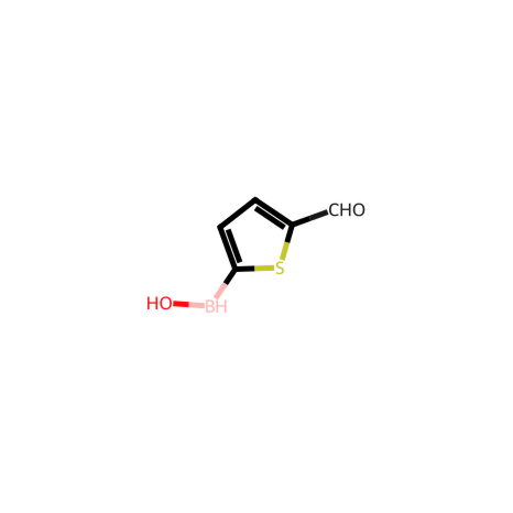 O=Cc1ccc(BO)s1